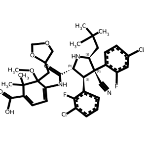 COC1(CC2COCO2)C(NC(=O)[C@@H]2N[C@@H](CC(C)(C)C)[C@](C#N)(c3ccc(Cl)cc3F)[C@H]2c2cccc(Cl)c2F)=CC=C(C(=O)O)C1(C)C